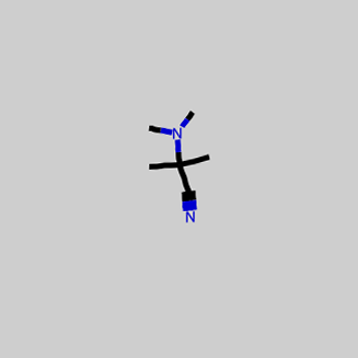 CN(C)C(C)(C)C#N